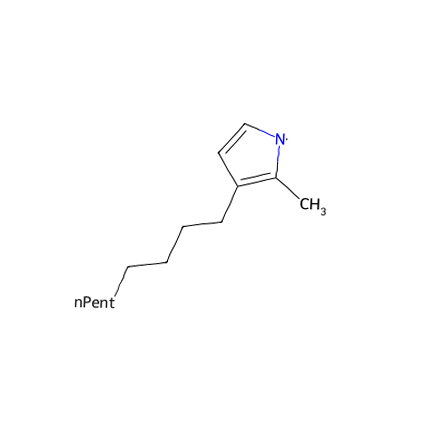 CCCCCCCCCC1=C(C)[N]C=C1